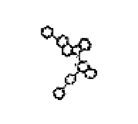 c1ccc(-c2ccc(-c3nc(-n4c5ccccc5c5c6ccc(-c7ccccc7)cc6ccc54)nc4ccccc34)cc2)cc1